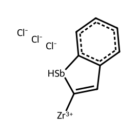 [Cl-].[Cl-].[Cl-].[Zr+3][C]1=Cc2cccc[c]2[SbH]1